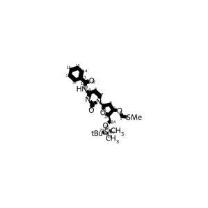 CSCOC1C[C@H](n2ccc(NC(=O)c3ccccc3)nc2=O)O[C@@H]1CO[Si](C)(C)C(C)(C)C